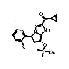 CC(C)(C)[Si](C)(C)O[C@@H]1C[C@@H](c2ncccc2Cl)N2N=C(C(=O)C3CC3)NC12